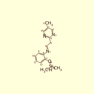 Cc1cnc(CC=Nc2ccccc2O[SiH](C)C)nc1